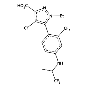 CCn1nc(C(=O)O)c(Cl)c1-c1ccc(NC(C)C(F)(F)F)cc1C(F)(F)F